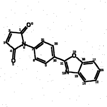 O=C1C=CC(=O)N1c1ccc(-c2nc3ccccc3o2)cc1